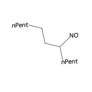 CCCCCCCC(CCCCC)N=O